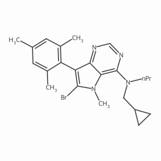 CCCN(CC1CC1)c1ncnc2c(-c3c(C)cc(C)cc3C)c(Br)n(C)c12